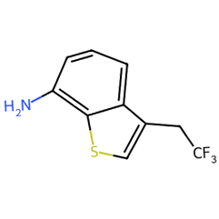 Nc1cccc2c(CC(F)(F)F)csc12